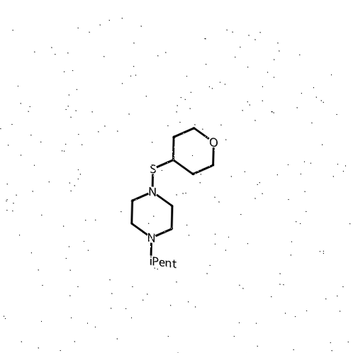 CCCC(C)N1CCN(SC2CCOCC2)CC1